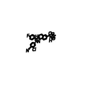 CS(=O)(=O)NC(=O)c1ccc2c(c1)CC[C@H]1C2=NN(c2ccc(C#N)c(Cl)c2)[C@H]1c1ccc(F)cc1